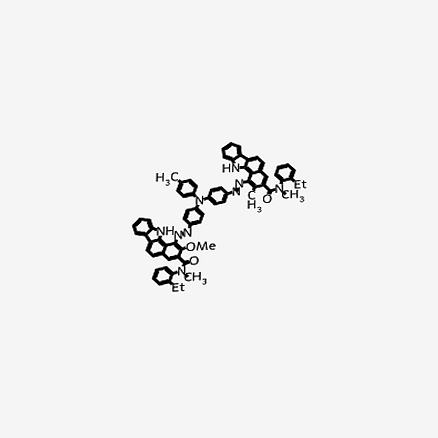 CCc1ccccc1N(C)C(=O)c1cc2ccc3c4ccccc4[nH]c3c2c(N=Nc2ccc(N(c3ccc(C)cc3)c3ccc(N=Nc4c(OC)c(C(=O)N(C)c5ccccc5CC)cc5ccc6c7ccccc7[nH]c6c45)cc3)cc2)c1C